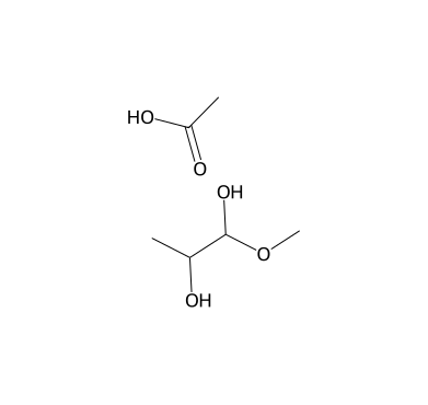 CC(=O)O.COC(O)C(C)O